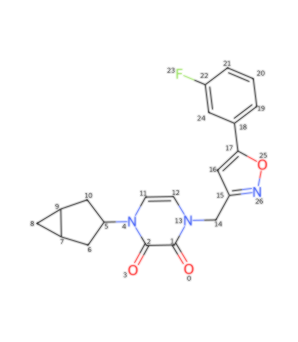 O=c1c(=O)n(C2CC3CC3C2)ccn1Cc1cc(-c2cccc(F)c2)on1